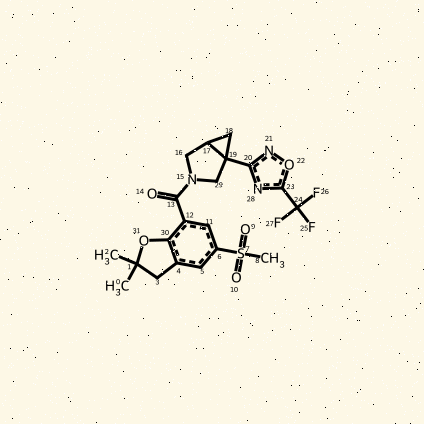 CC1(C)Cc2cc(S(C)(=O)=O)cc(C(=O)N3CC4CC4(c4noc(C(F)(F)F)n4)C3)c2O1